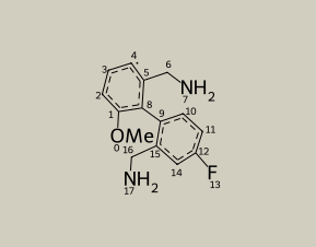 COc1cc[c]c(CN)c1-c1ccc(F)cc1CN